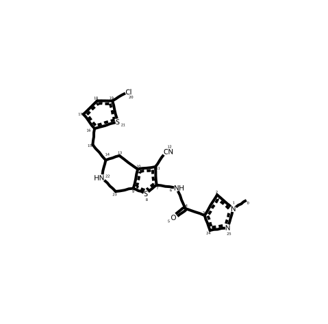 Cn1cc(C(=O)Nc2sc3c(c2C#N)CC(Cc2ccc(Cl)s2)NC3)cn1